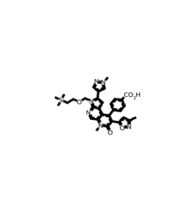 Cc1cc(-c2c(-c3ccc(C(=O)O)cc3)c3c4cc(-c5cnn(C)c5)n(COCC[Si](C)(C)C)c4ncc3n(C)c2=O)on1